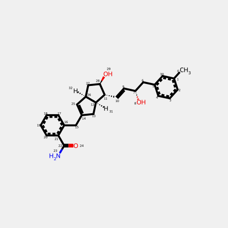 Cc1cccc(C[C@H](O)/C=C/[C@@H]2[C@H]3CC(Cc4ccccc4C(N)=O)=C[C@H]3C[C@H]2O)c1